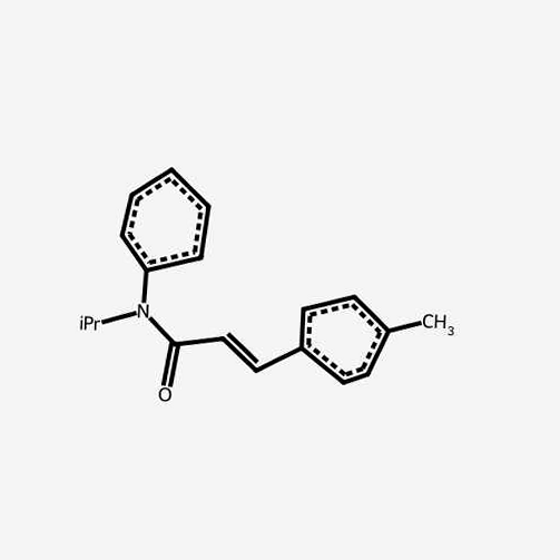 Cc1ccc(/C=C/C(=O)N(c2ccccc2)C(C)C)cc1